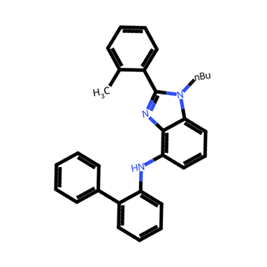 CCCCn1c(-c2ccccc2C)nc2c(Nc3ccccc3-c3ccccc3)cccc21